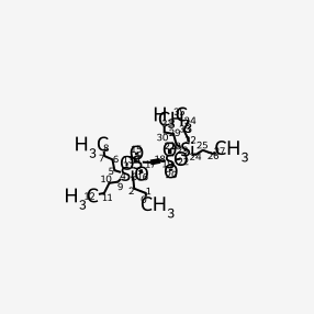 CCCC[Si](CCCC)(CCCC)OS(=O)(=O)C#CS(=O)(=O)O[Si](CCCC)(CCCC)CCCC